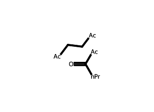 CC(=O)CCC(C)=O.CCCC(=O)C(C)=O